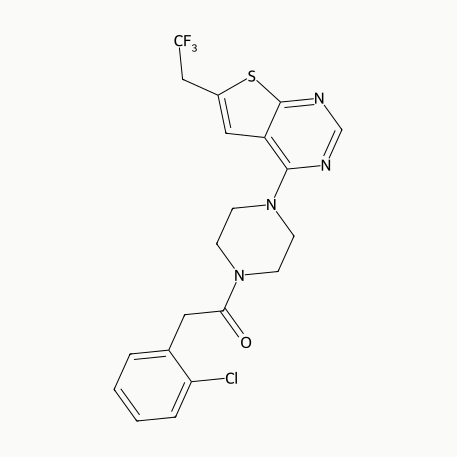 O=C(Cc1ccccc1Cl)N1CCN(c2ncnc3sc(CC(F)(F)F)cc23)CC1